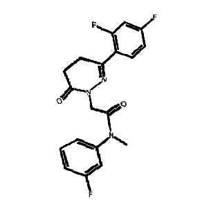 CN(C(=O)CN1N=C(c2ccc(F)cc2F)CCC1=O)c1cccc(F)c1